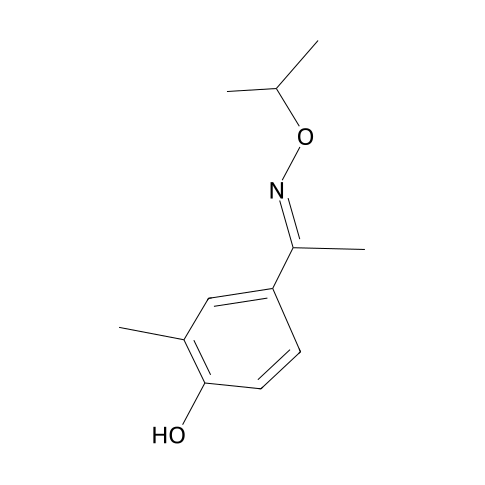 CC(=NOC(C)C)c1ccc(O)c(C)c1